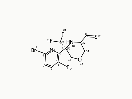 Fc1ccc(Br)nc1[C@]1(C(F)F)COCC(C=S)N1